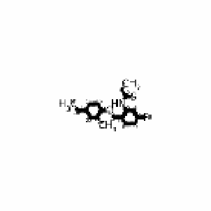 CCC(=S)Nc1cc(F)ccc1COc1ccc(CC)cc1C